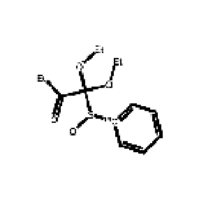 CCOC(OCC)(C(=O)CC)[S+]([O-])[13c]1ccccc1